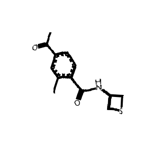 CC(=O)c1ccc(C(=O)NC2CSC2)c(C)c1